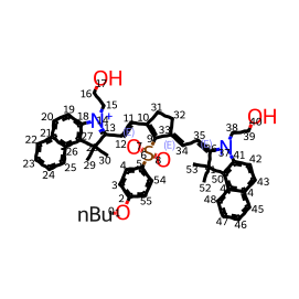 CCCCOc1ccc(S(=O)(=O)C2=C(/C=C/C3=[N+](CCO)c4ccc5ccccc5c4C3(C)C)CC/C2=C\C=C2\N(CCO)c3ccc4ccccc4c3C2(C)C)cc1